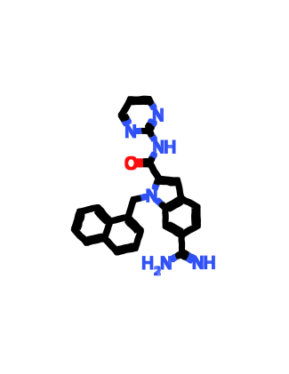 N=C(N)c1ccc2cc(C(=O)Nc3ncccn3)n(Cc3cccc4ccccc34)c2c1